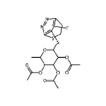 CC(=O)OC1C(C)OC(Sc2c3nnc(c2F)SCS3)C(OC(C)=O)C1OC(C)=O